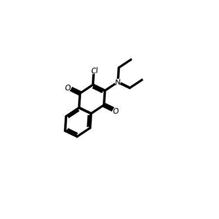 CCN(CC)C1=C(Cl)C(=O)c2ccccc2C1=O